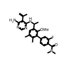 C=C(C)c1c(N)ncnc1NC(C)c1cc(C)c(C)c(-c2ccc(C(=O)N(C)C)c(F)c2)c1OC